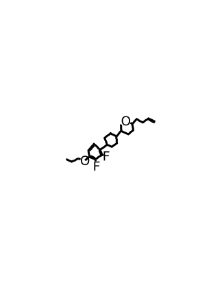 C=CCCC1CCC(C2CCC(c3ccc(OCCC)c(F)c3F)CC2)CO1